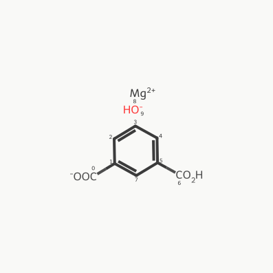 O=C([O-])c1cccc(C(=O)O)c1.[Mg+2].[OH-]